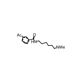 CNCCCCCCNC(=O)c1cccc(C(C)=O)c1